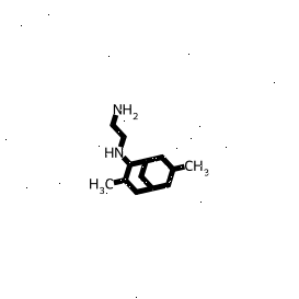 CC1CC2CC(C)C(NCCN)C(C1)C2